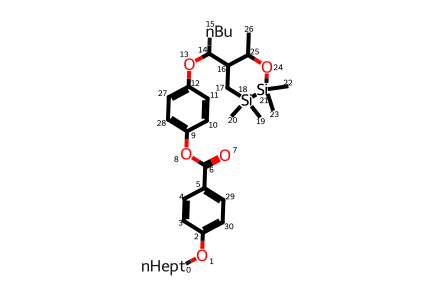 CCCCCCCOc1ccc(C(=O)Oc2ccc(OC(CCCC)C3C[Si](C)(C)[Si](C)(C)OC3C)cc2)cc1